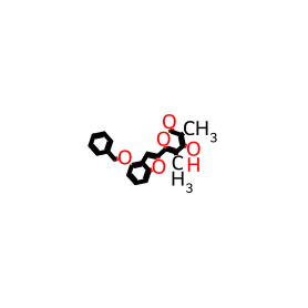 Cc1c(-c2cc3c(OCc4ccccc4)cccc3o2)oc(=O)c(C)c1O